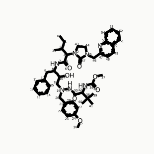 CCC(C)C(C(=O)NC(Cc1ccccc1)C(O)CN(Cc1ccc(OC)cc1)NC(=O)C(NC(=O)OC)C(C)(C)C)N1CCN(Cc2ccc3ccccc3n2)C1=O